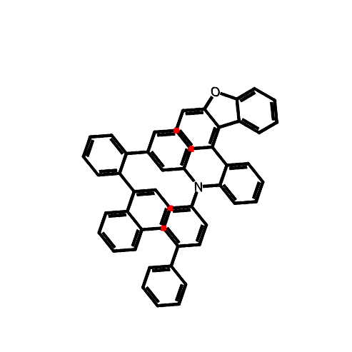 c1ccc(-c2ccc(N(c3cccc(-c4ccccc4-c4cccc5ccccc45)c3)c3ccccc3-c3cccc4oc5ccccc5c34)cc2)cc1